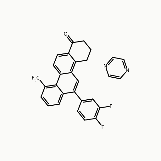 O=C1CCCc2c1ccc1c2cc(-c2ccc(F)c(F)c2)c2cccc(C(F)(F)F)c21.c1cnccn1